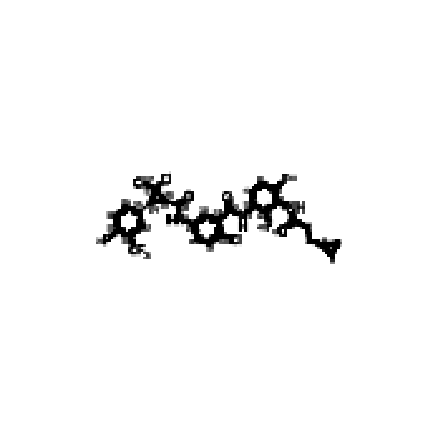 O=C(CCC1CC1)Nc1c(F)ccc(NC(=O)c2cc(NC(=O)[C@H]3[C@H](c4ccc(F)c(C(F)(F)F)c4)C3(Cl)Cl)ccc2Cl)c1F